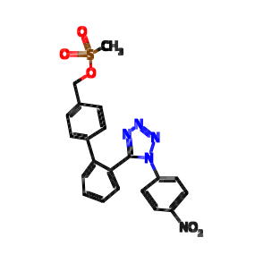 CS(=O)(=O)OCc1ccc(-c2ccccc2-c2nnnn2-c2ccc([N+](=O)[O-])cc2)cc1